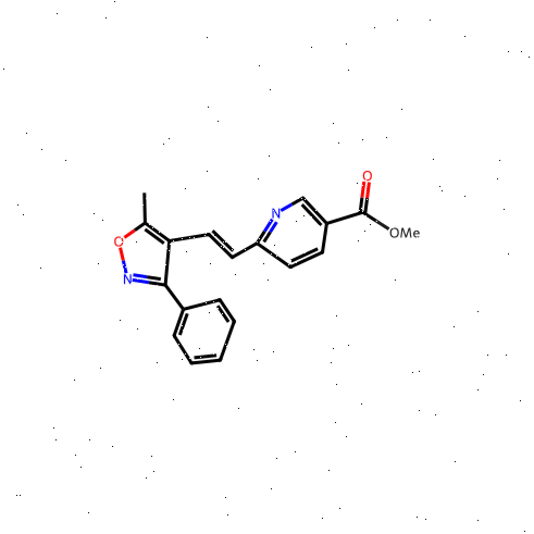 COC(=O)c1ccc(C=Cc2c(-c3ccccc3)noc2C)nc1